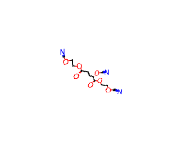 N#COCCOC(=O)CCC(OC#N)C(=O)OCCOC#N